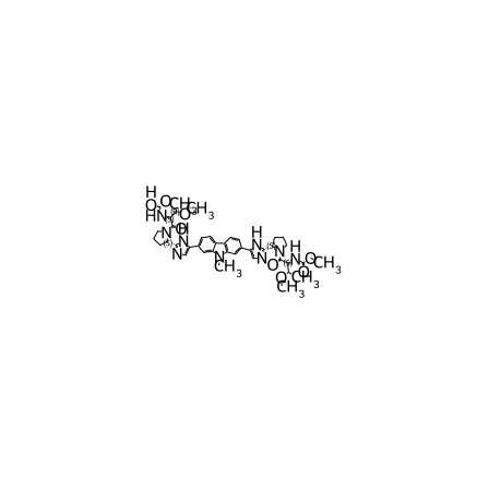 COC(=O)N[C@H](C(=O)N1CCC[C@H]1c1ncc(-c2ccc3c4ccc(-c5cnc([C@@H]6CCCN6C(=O)[C@@H](NC(=O)O)[C@@H](C)OC)[nH]5)cc4n(C)c3c2)[nH]1)C(C)OC